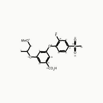 COCC(C)Oc1cc(Oc2ccc(S(C)(=O)=O)cc2F)cc(C(=O)O)c1